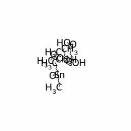 CC(C)CC(=O)O.CCC[CH2][Sn](=[O])[CH2]CCC.Cc1ccccc1C.O=C(O)CCCCC(=O)O